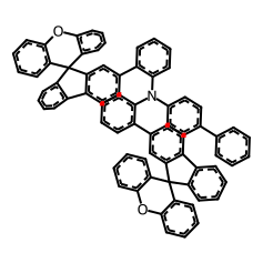 c1ccc(-c2ccc(N(c3ccccc3-c3ccc4c(c3)C3(c5ccccc5Oc5ccccc53)c3ccccc3-4)c3ccccc3-c3ccc4c(c3)C3(c5ccccc5Oc5ccccc53)c3ccccc3-4)cc2)cc1